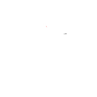 COc1ccc(CO[C@H]2O[C@H](CO)[C@@H](O)[C@H](O)[C@H]2O)cc1